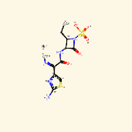 CON=C(C(=O)NC1C(=O)N(S(=O)(=O)[O-])C1COC(C)=O)c1csc(N)n1.[Na+]